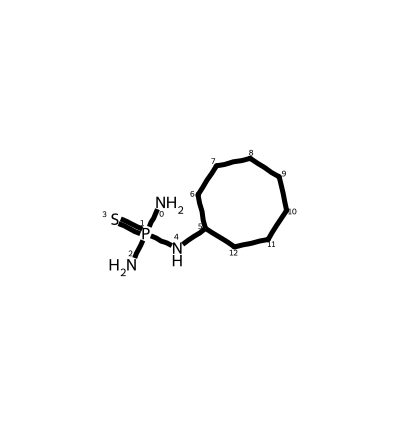 NP(N)(=S)NC1CCCCCCC1